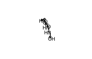 O=C(CCN1CCC(OC(=O)Nc2ccccc2-c2ccccc2)CC1)NCCCCCNCCCc1ccc(O)cc1